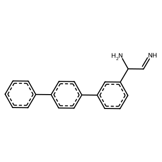 N=CC(N)c1cccc(-c2ccc(-c3ccccc3)cc2)c1